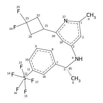 Cc1cc(N[C@H](C)c2cccc(S(F)(F)(F)(F)F)c2)cc(C2CC(F)(F)C2)n1